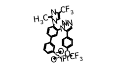 Cc1nc(C(F)(F)F)cn1-c1ccc(-c2cccc(S(=O)(=O)C(C)C)c2)cc1-n1nncc1-c1ccc(OC(F)(F)F)cc1